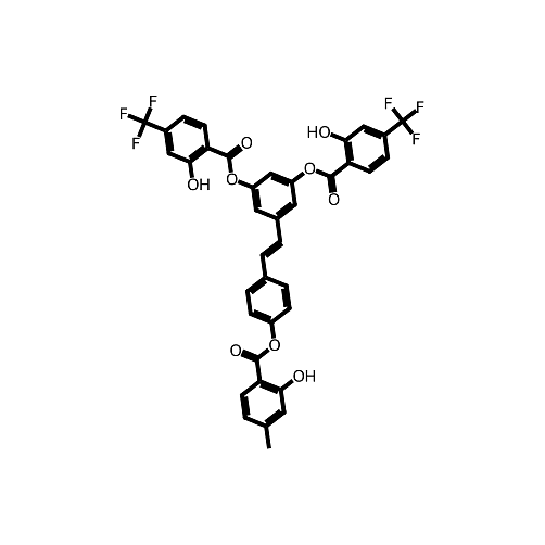 Cc1ccc(C(=O)Oc2ccc(/C=C/c3cc(OC(=O)c4ccc(C(F)(F)F)cc4O)cc(OC(=O)c4ccc(C(F)(F)F)cc4O)c3)cc2)c(O)c1